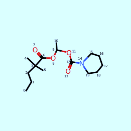 CCCC(C)(C)C(=O)OC(C)OC(=O)N1CCCCC1